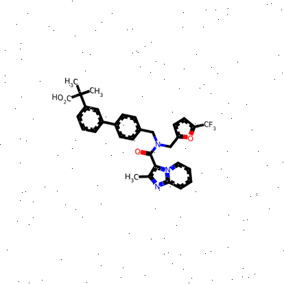 Cc1nc2ccccn2c1C(=O)N(Cc1ccc(-c2cccc(C(C)(C)C(=O)O)c2)cc1)Cc1ccc(C(F)(F)F)o1